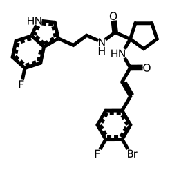 O=C(/C=C/c1ccc(F)c(Br)c1)NC1(C(=O)NCCc2c[nH]c3ccc(F)cc23)CCCC1